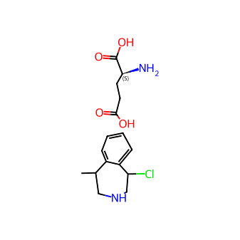 CC1CNCC(Cl)c2ccccc21.N[C@@H](CCC(=O)O)C(=O)O